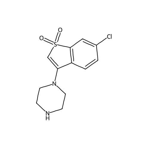 O=S1(=O)C=C(N2CCNCC2)c2ccc(Cl)cc21